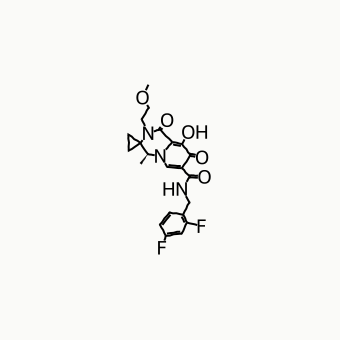 COCCN1C(=O)c2c(O)c(=O)c(C(=O)NCc3ccc(F)cc3F)cn2[C@@H](C)C12CC2